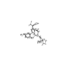 CC(C)C(=O)n1cc(-c2nc(N)ncc2Cl)c2cc(C#CC3(O)CCCC3)ccc21